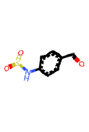 O=[C]c1ccc(N[SH](=O)=O)cc1